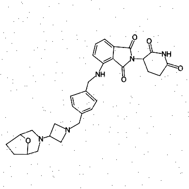 O=C1CCC(N2C(=O)c3cccc(NCc4ccc(CN5CC(N6CC7CCC(C6)O7)C5)cc4)c3C2=O)C(=O)N1